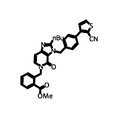 CCCCc1nc2ccn(Cc3ccccc3C(=O)OC)c(=O)c2n1Cc1ccc(-c2ccsc2C#N)cc1